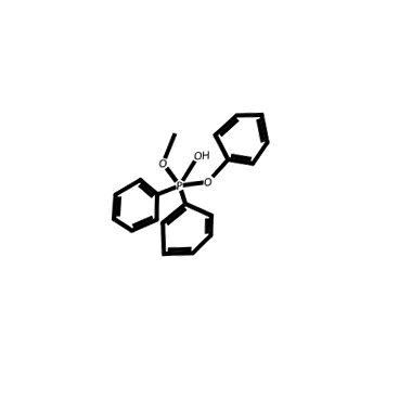 COP(O)(Oc1ccccc1)(c1ccccc1)c1ccccc1